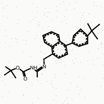 C/C(=N/Cc1ccc(-c2ccc(C(C)(C)C)cc2)c2ccccc12)NC(=O)OC(C)(C)C